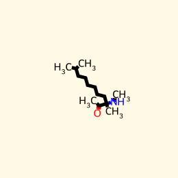 CNC(C)(CCCCCCC(C)C)C(C)=O